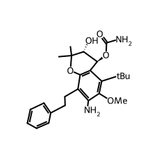 COc1c(N)c(CCc2ccccc2)c2c(c1C(C)(C)C)[C@H](OC(N)=O)[C@@H](O)C(C)(C)O2